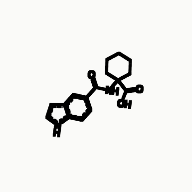 O=C(NC1(C(=O)O)CCCCC1)c1ccc2[nH]ccc2c1